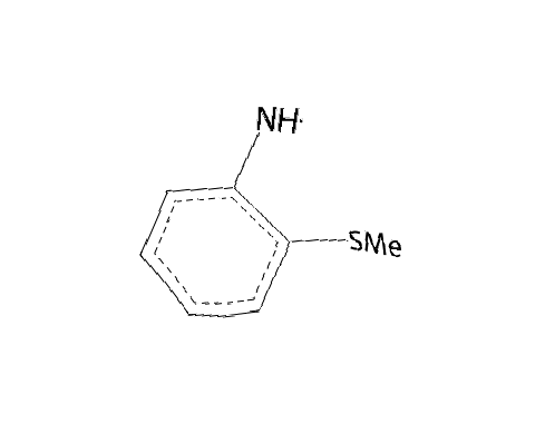 CSc1ccccc1[NH]